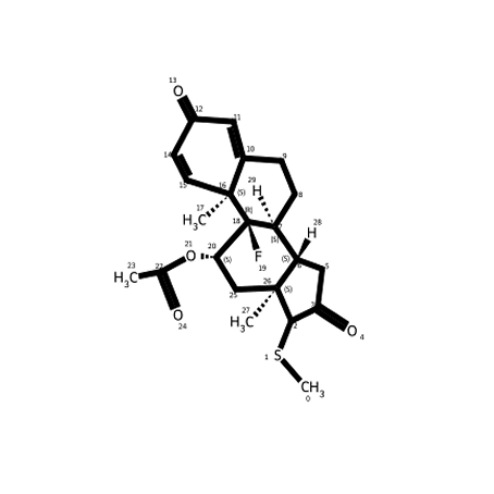 CSC1C(=O)C[C@H]2[C@@H]3CCC4=CC(=O)C=C[C@]4(C)[C@@]3(F)[C@@H](OC(C)=O)C[C@]12C